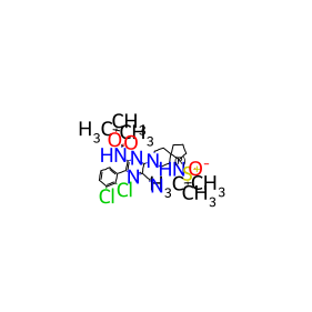 CC(C)(C)OC(=O)Nc1nc(N2CCC3(CCC[C@H]3N[S+]([O-])C(C)(C)C)CC2)c(C#N)nc1-c1cccc(Cl)c1Cl